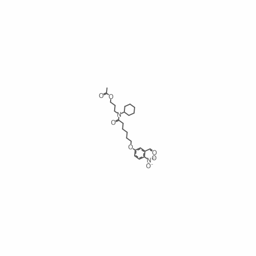 CC(=O)OCCCN(C(=O)CCCCCOc1ccc([N+](=O)[O-])c(C=O)c1)C1CCCCC1